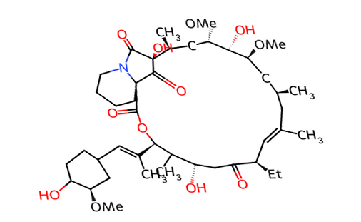 CC[C@@H]1/C=C(\C)C[C@H](C)C[C@H](OC)[C@@H](O)[C@@H](OC)C[C@H](C)[C@@]2(O)C(=O)N3CCCC[C@]3(C(=O)O[C@H](/C(C)=C/C3CCC(O)[C@H](OC)C3)C(C)[C@@H](O)CC1=O)C2=O